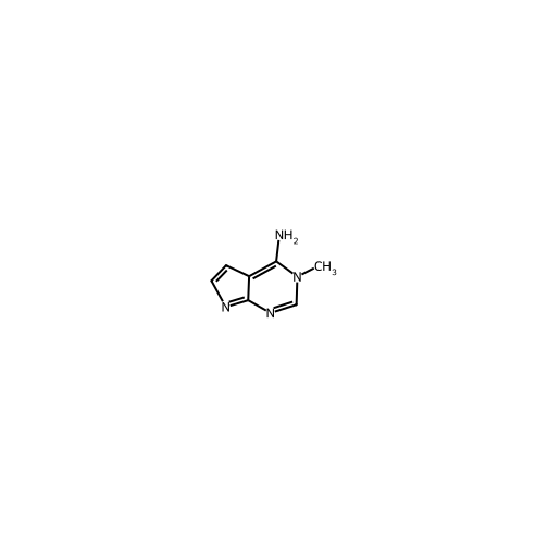 Cn1cnc2nccc-2c1N